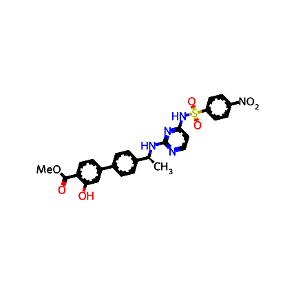 COC(=O)c1ccc(-c2ccc([C@H](C)Nc3nccc(NS(=O)(=O)c4ccc([N+](=O)[O-])cc4)n3)cc2)cc1O